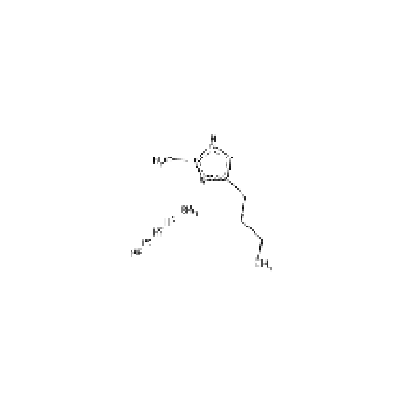 B.CCCCc1c[nH]c(C)n1.F.F.F.F